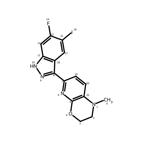 CN1CCOc2nc(-c3n[nH]c4cc(F)c(I)cc34)ccc21